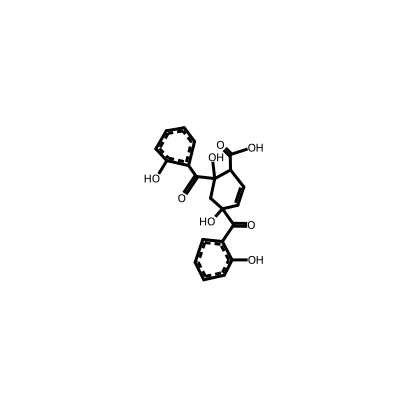 O=C(O)C1C=CC(O)(C(=O)c2ccccc2O)CC1(O)C(=O)c1ccccc1O